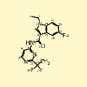 CCn1cc(C(=O)Nc2ccnc(C(F)(F)P)n2)c2cc(F)ccc21